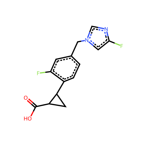 O=C(O)C1CC1c1ccc(Cn2cnc(F)c2)cc1F